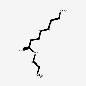 CCCCCCCCCCCCCCCC(=O)OCCS(=O)(=O)O